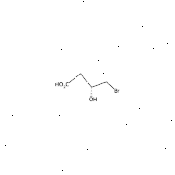 O=C(O)C[C@@H](O)CBr